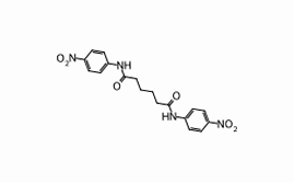 O=C(CCCCC(=O)Nc1ccc([N+](=O)[O-])cc1)Nc1ccc([N+](=O)[O-])cc1